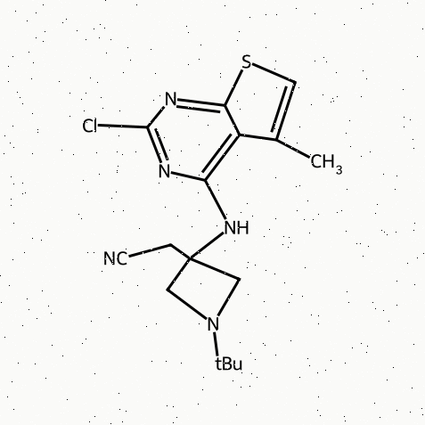 Cc1csc2nc(Cl)nc(NC3(CC#N)CN(C(C)(C)C)C3)c12